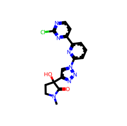 CN1CCC(O)(c2cn(-c3cccc(-c4ccnc(Cl)n4)n3)nn2)C1=O